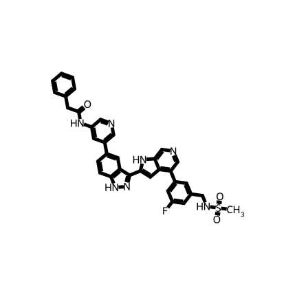 CS(=O)(=O)NCc1cc(F)cc(-c2cncc3[nH]c(-c4n[nH]c5ccc(-c6cncc(NC(=O)Cc7ccccc7)c6)cc45)cc23)c1